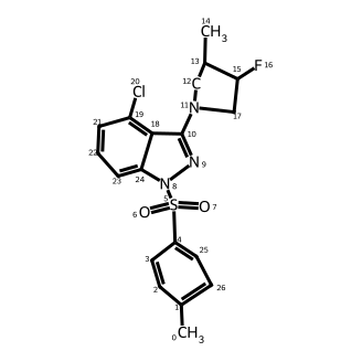 Cc1ccc(S(=O)(=O)n2nc(N3CC(C)C(F)C3)c3c(Cl)cccc32)cc1